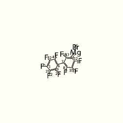 Fc1c(F)c(F)c(-c2c(F)c(F)c(F)[c]([Mg][Br])c2F)c(F)c1F